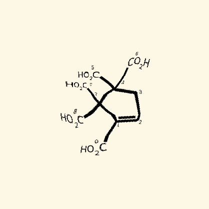 O=C(O)C1=CCC(C(=O)O)(C(=O)O)C1(C(=O)O)C(=O)O